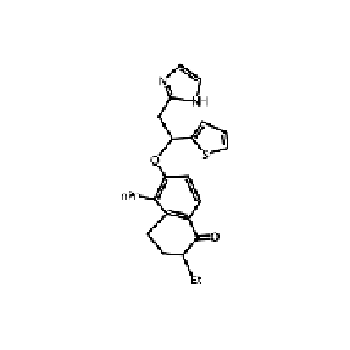 CCCc1c(OC(Cc2ncc[nH]2)c2cccs2)ccc2c1CCC(CC)C2=O